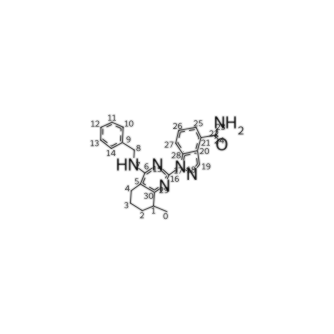 CC1CCCc2c(NCc3ccccc3)nc(-n3ncc4c(C(N)=O)cccc43)nc21